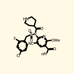 CCCC(=O)c1cc(C#N)c(N(C(=O)C2CCNCC2)S(=O)(=O)Cc2ccc(Cl)cc2F)nc1OC